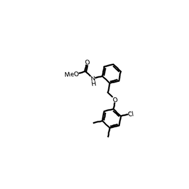 COC(=O)Nc1ccccc1COc1cc(C)c(C)cc1Cl